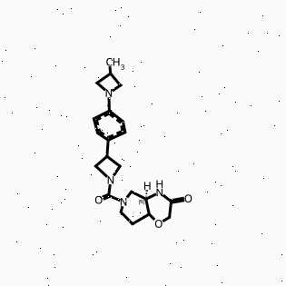 CC1CN(c2ccc(C3CN(C(=O)N4CCC5OCC(=O)N[C@@H]5C4)C3)cc2)C1